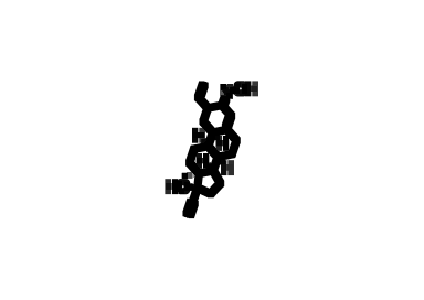 C#C[C@@]1(O)CC[C@H]2[C@@H]3CCC4=CC(=NO)C(C=C)C[C@@H]4[C@H]3CC[C@@]21C